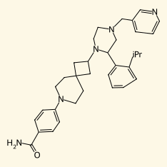 CC(C)c1ccccc1C1CN(Cc2cccnc2)CCN1C1CC2(CCN(c3ccc(C(N)=O)cc3)CC2)C1